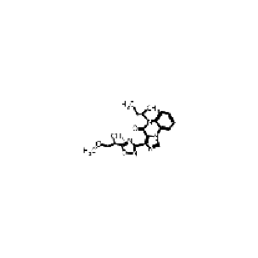 CCC(C)n1c(=O)c2c(-c3noc(C(C)COC)n3)ncn2c2ccccc21